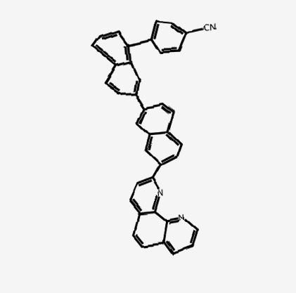 N#Cc1ccc(-c2cccc3ccc(-c4ccc5ccc(-c6ccc7ccc8cccnc8c7n6)cc5c4)cc23)cc1